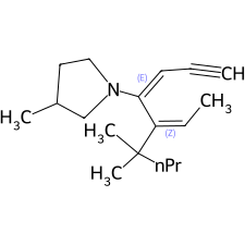 C#C/C=C(\C(=C/C)C(C)(C)CCC)N1CCC(C)C1